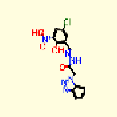 O=C(Cn1nnc2ccccc21)N/N=C/c1cc(Cl)cc([N+](=O)O)c1O